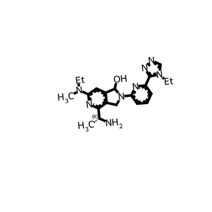 CCN(C)c1cc2c(c([C@@H](C)N)n1)CN(c1cccc(-c3nncn3CC)n1)C2O